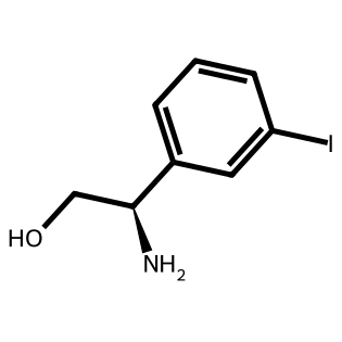 N[C@@H](CO)c1cccc(I)c1